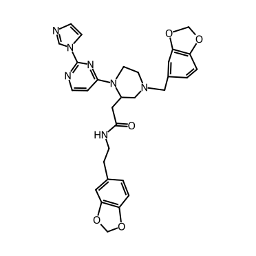 O=C(CC1CN(Cc2ccc3c(c2)OCO3)CCN1c1ccnc(-n2ccnc2)n1)NCCc1ccc2c(c1)OCO2